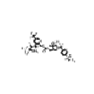 COC12CN(C(=O)c3ccc(S(N)(=O)=O)cn3)C=C1CN(C(=O)OCc1ncc(C(F)(F)F)cc1NC(=O)C(C)(C)C)C2